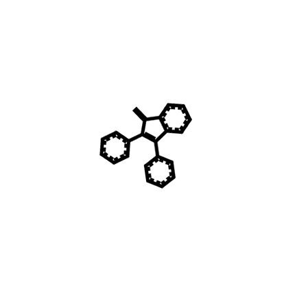 C=C1C(c2ccccc2)=C(c2ccccc2)c2ccccc21